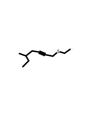 [CH2]CSCC#CCC(C)CC